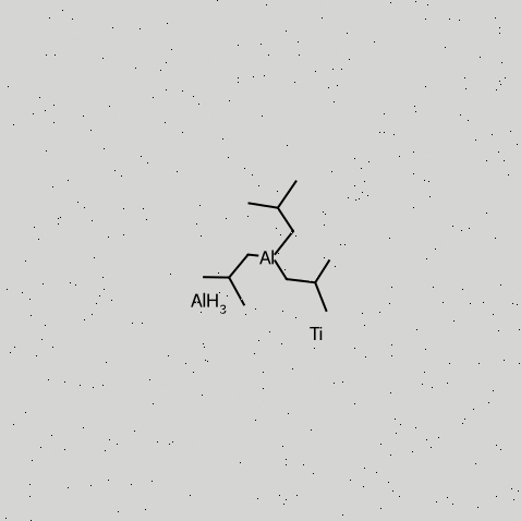 CC(C)[CH2][Al]([CH2]C(C)C)[CH2]C(C)C.[AlH3].[Ti]